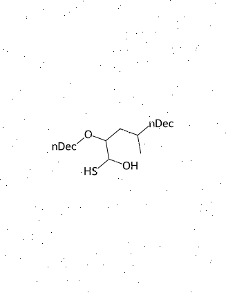 CCCCCCCCCCOC(CC(C)CCCCCCCCCC)C(O)S